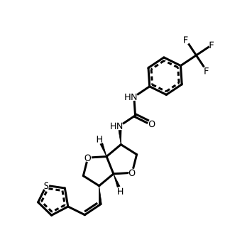 O=C(Nc1ccc(C(F)(F)F)cc1)N[C@H]1CO[C@H]2[C@@H]1OC[C@@H]2/C=C\c1ccsc1